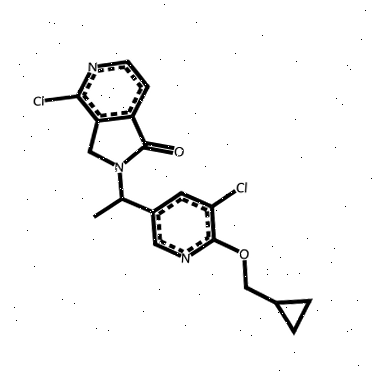 CC(c1cnc(OCC2CC2)c(Cl)c1)N1Cc2c(ccnc2Cl)C1=O